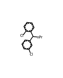 CCC[C](c1cccc(Cl)c1)c1ccccc1Cl